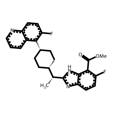 COC(=O)c1c(F)ccc2nc([C@H](C)[C@H]3CC[C@@H](c4c(F)ccc5ncccc54)CC3)[nH]c12